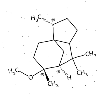 CO[C@]1(C)CCC23C[C@H]1C(C)(C)C2CC[C@H]3C